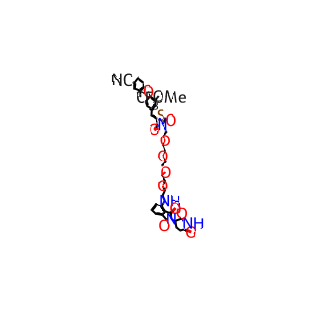 COc1cc(/C=C2\SC(=O)N(CCOCCOCCOCCOCCNc3cccc4c3C(=O)N(C3CCC(=O)NC3=O)C4=O)C2=O)ccc1Oc1ccc(C#N)cc1C(F)(F)F